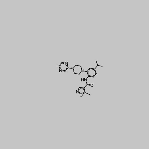 Cc1oncc1C(=O)Nc1ccc(C(C)C)cc1N1CCN(c2cnccn2)CC1